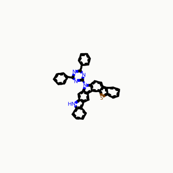 c1ccc(-c2nc(-c3ccccc3)nc(-n3c4cc5[nH]c6ccccc6c5cc4c4c5sc6ccccc6c5ccc43)n2)cc1